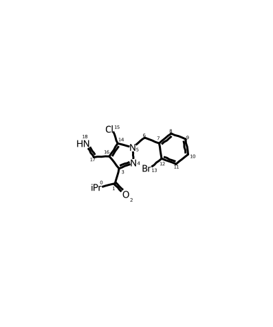 CC(C)C(=O)c1nn(Cc2ccccc2Br)c(Cl)c1C=N